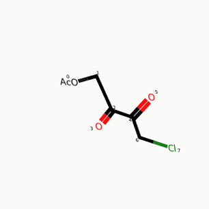 CC(=O)OCC(=O)C(=O)CCl